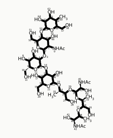 CC(=O)NC1C(OC2C(O)C(O)[C@@H](CO)O[C@@H]2OC2C(O)C(CO)OC(O[C@@H](C)C(CO)OC(O[C@@H](C)C(CO)OC(C)[C@H](O)NC(C)=O)[C@H](O)NC(C)=O)C2O)OC(CO)C(OC2OC(CO)C(C)C(O)C2O)C1O